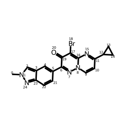 Cn1cc2cc(-c3nn4ccc(C5CC5)nc4c(Br)c3=O)ccc2n1